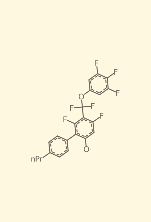 CCCc1ccc(-c2c([O])cc(F)c(C(F)(F)Oc3cc(F)c(F)c(F)c3)c2F)cc1